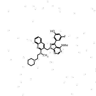 CNc1ncnc2c1c(-c1cc(O)cc(F)c1)nn2Cc1cc2ccccc2nc1N(C)CCN1CCCCC1